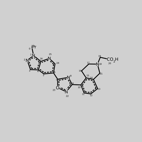 CC(C)n1ncc2cc(-c3nc(-c4cccc5c4CCN(CC(=O)O)C5)no3)cnc21